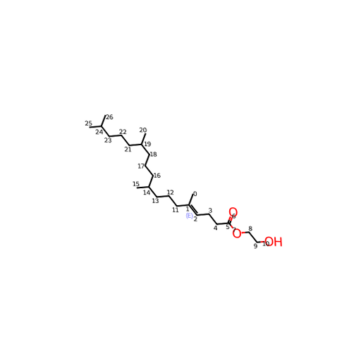 C/C(=C\CCC(=O)OCCO)CCCC(C)CCCC(C)CCCC(C)C